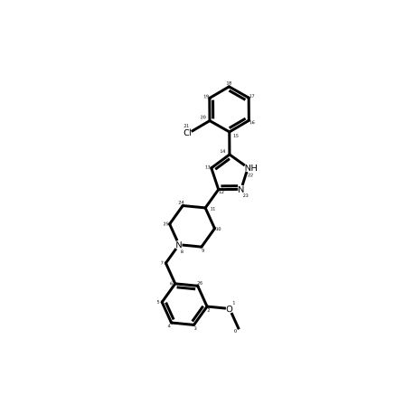 COc1cccc(CN2CCC(c3cc(-c4ccccc4Cl)[nH]n3)CC2)c1